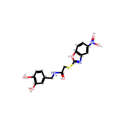 O=C(CSc1nc2cc([N+](=O)[O-])ccc2o1)NCc1ccc(O)c(O)c1